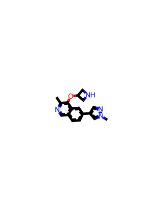 Cc1ncc2ccc(-c3cnn(C)c3)cc2c1OC1CNC1